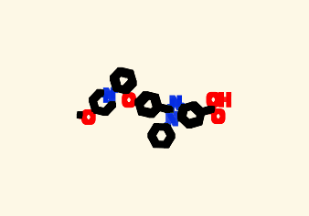 COC1CCN(c2ccccc2Oc2ccc(-c3nc4cc(C(=O)O)ccc4n3C3CCCCC3)cc2)CC1